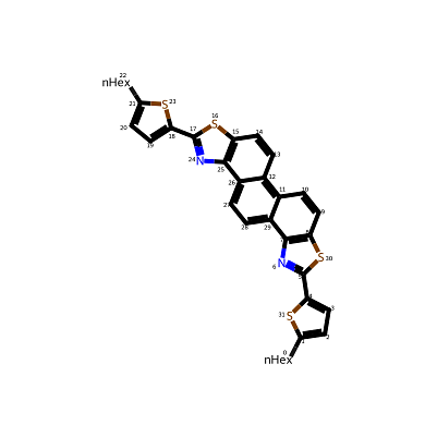 CCCCCCc1ccc(-c2nc3c(ccc4c5ccc6sc(-c7ccc(CCCCCC)s7)nc6c5ccc43)s2)s1